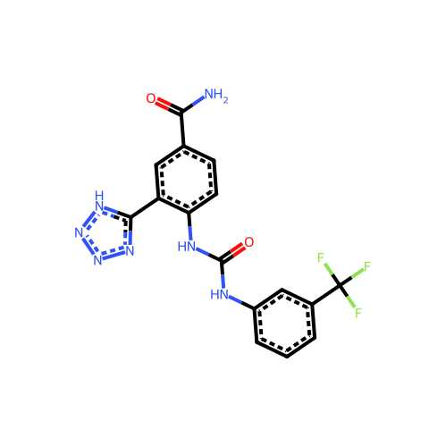 NC(=O)c1ccc(NC(=O)Nc2cccc(C(F)(F)F)c2)c(-c2nnn[nH]2)c1